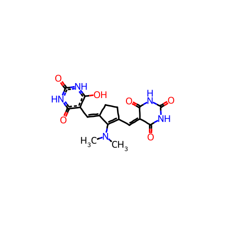 CN(C)C1=C(C=C2C(=O)NC(=O)NC2=O)CC/C1=C\c1c(O)[nH]c(=O)[nH]c1=O